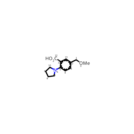 COCc1ccc(N2CCCC2)c(C(=O)O)c1